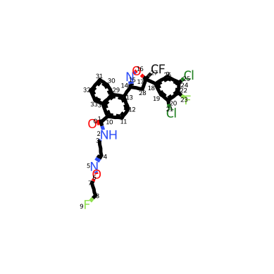 O=C(NC/C=N/OCCF)c1ccc(C2=NOC(c3cc(Cl)c(F)c(Cl)c3)(C(F)(F)F)C2)c2ccccc12